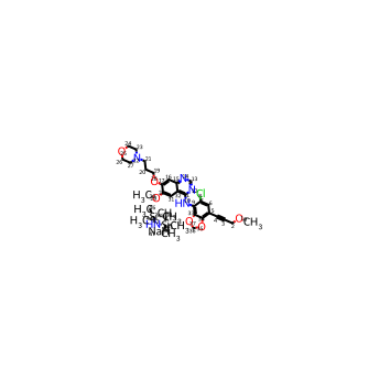 COCC#Cc1cc(Cl)c(Nc2ncnc3cc(OCCCN4CCOCC4)c(OC)cc23)c2c1OCO2.C[Si](C)(C)N[Si](C)(C)C.[NaH]